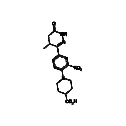 CC1CC(=O)NN=C1c1ccc(N2CCC(C(=O)O)CC2)c([N+](=O)[O-])c1